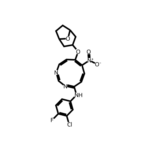 O=[N+]([O-])c1ccc(Nc2ccc(F)c(Cl)c2)ncnccc1OC1CC2CCC(C1)O2